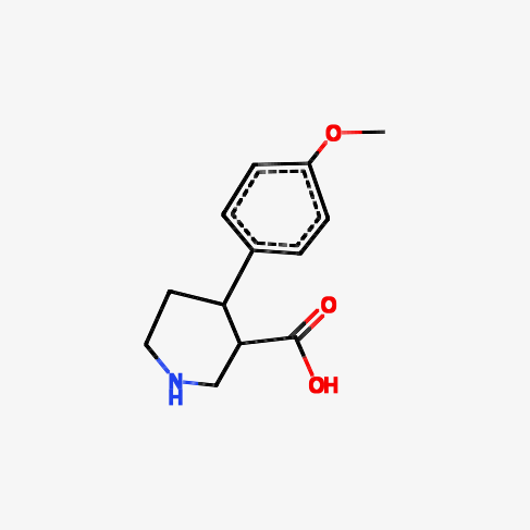 COc1ccc(C2CCNCC2C(=O)O)cc1